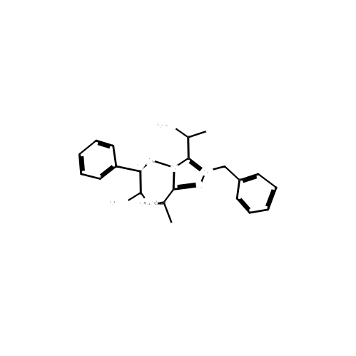 COC(C)c1n[n+](Cc2ccccc2)c(C(C)OC)n1N[C@H](c1ccccc1)C(OC)OC